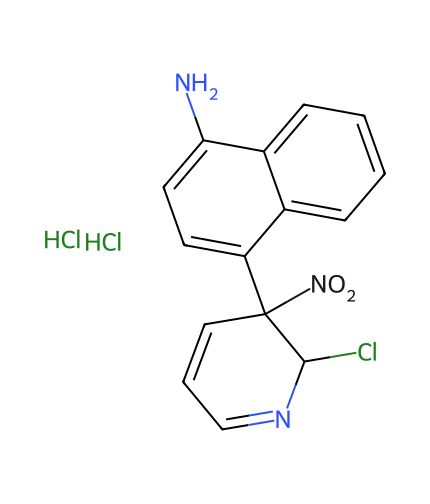 Cl.Cl.Nc1ccc(C2([N+](=O)[O-])C=CC=NC2Cl)c2ccccc12